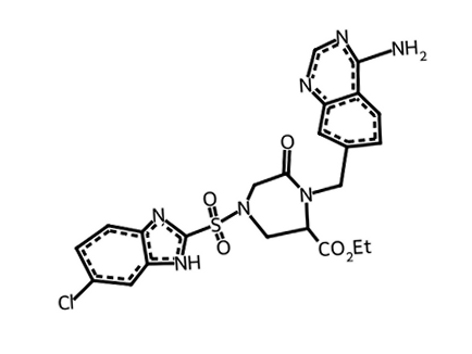 CCOC(=O)C1CN(S(=O)(=O)c2nc3ccc(Cl)cc3[nH]2)CC(=O)N1Cc1ccc2c(N)ncnc2c1